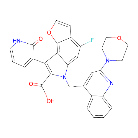 O=C(O)c1c(-c2ccc[nH]c2=O)c2c3occc3c(F)cc2n1Cc1cc(N2CCOCC2)nc2ccccc12